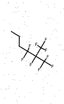 C[CH]CC(F)(F)C(F)(C(F)(F)F)C(F)(F)F